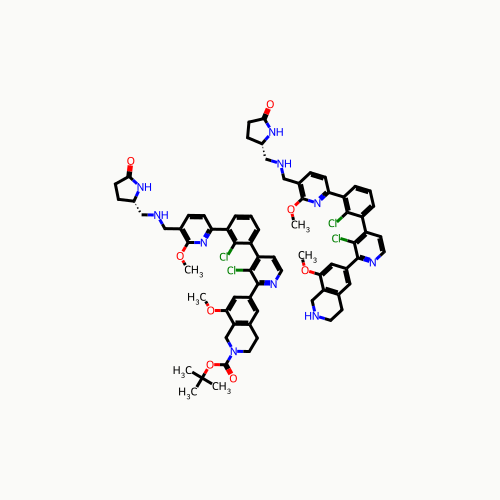 COc1cc(-c2nccc(-c3cccc(-c4ccc(CNC[C@@H]5CCC(=O)N5)c(OC)n4)c3Cl)c2Cl)cc2c1CN(C(=O)OC(C)(C)C)CC2.COc1cc(-c2nccc(-c3cccc(-c4ccc(CNC[C@@H]5CCC(=O)N5)c(OC)n4)c3Cl)c2Cl)cc2c1CNCC2